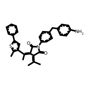 CC(C)=C1C(=O)N(c2ccc(Cc3ccc(N)cc3)cc2)C(=O)C1=C(C)c1cc(-c2ccccc2)sc1C